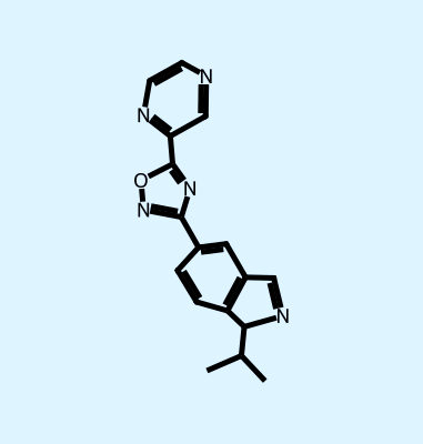 CC(C)C1N=Cc2cc(-c3noc(-c4cnccn4)n3)ccc21